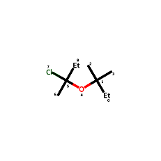 CCC(C)(C)OC(C)(Cl)CC